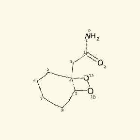 NC(=O)CC12CCCCC1OO2